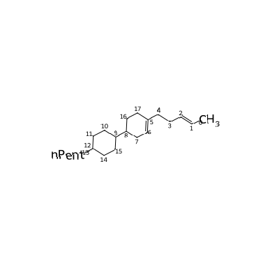 CC=CCCC1=CCC(C2CCC(CCCCC)CC2)CC1